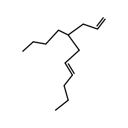 C=CCC(CC=CCCC)CCCC